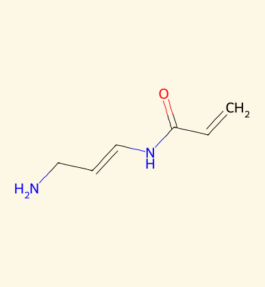 C=CC(=O)NC=CCN